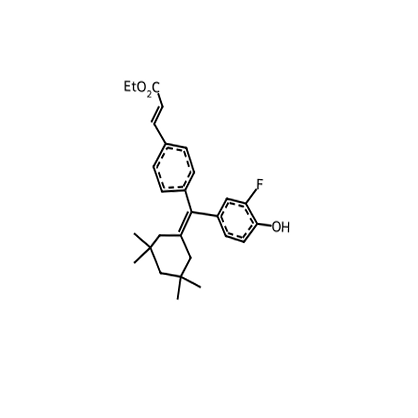 CCOC(=O)C=Cc1ccc(C(=C2CC(C)(C)CC(C)(C)C2)c2ccc(O)c(F)c2)cc1